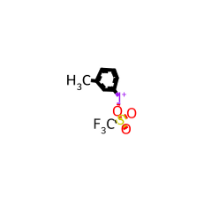 Cc1cccc([I+]OS(=O)(=O)C(F)(F)F)c1